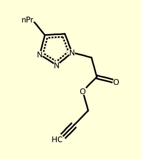 C#CCOC(=O)Cn1cc(CCC)nn1